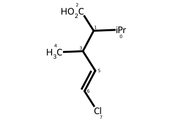 CC(C)C(C(=O)O)C(C)C=CCl